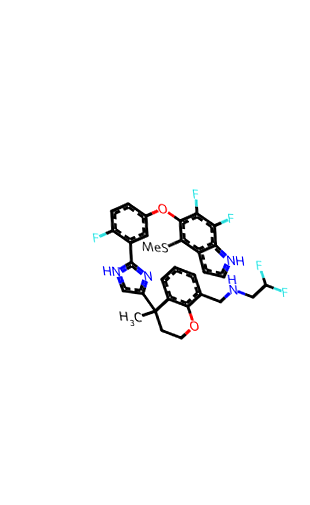 CSc1c(Oc2ccc(F)c(-c3nc(C4(C)CCOc5c(CNCC(F)F)cccc54)c[nH]3)c2)c(F)c(F)c2[nH]ccc12